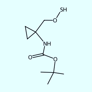 CC(C)(C)OC(=O)NC1(COS)CC1